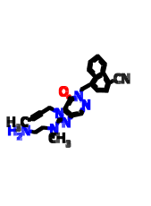 CC#CCn1c(N(C)CCN)nc2cnn(Cc3ccc(C#N)c4ccccc34)c(=O)c21